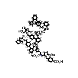 CCCCC1=NC2(CCCC2)C(=O)N1Cc1ccc(-c2ccccc2-c2nnn[nH]2)cc1.CCCCc1nc(Cl)c(CO)n1Cc1ccc(-c2ccccc2-c2nnn[nH]2)cc1.CCCCc1ncc(/C=C(\Cc2cccs2)C(=O)O)n1Cc1ccc(C(=O)O)cc1.CCOc1nc2cccc(C(=O)O)c2n1Cc1ccc(-c2ccccc2-c2nnn[nH]2)cc1